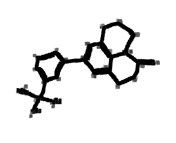 CCC[CH2][Sn]([CH2]CCC)([CH2]CCC)[c]1cncc(-c2cc3c4c(c2)CCC(=O)N4CCC3)c1